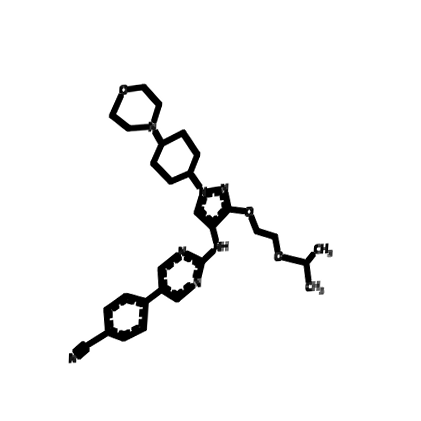 CC(C)OCCOc1nn(C2CCC(N3CCOCC3)CC2)cc1Nc1ncc(-c2ccc(C#N)cc2)cn1